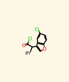 CC(C)C(C(=O)Cl)c1coc2ccc(Cl)cc12